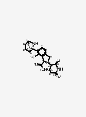 O=CC(=O)C1c2c(ccc(N3CC4CCC3CN4)c2F)CN1C1CCC(=O)NC1=O